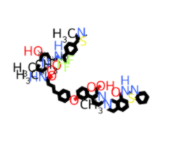 Cc1ncsc1-c1ccc([C@@H](NC(=O)[C@@H]2C[C@@H](O)CN2C(=O)[C@@H](NC(=O)CCCc2ccc(Oc3cccc(-c4ccc(N5CCc6cccc(C(=O)Nc7nc8ccccc8s7)c6C5)nc4C(=O)O)c3C)cc2)C(C)(C)C)C(F)(F)F)cc1